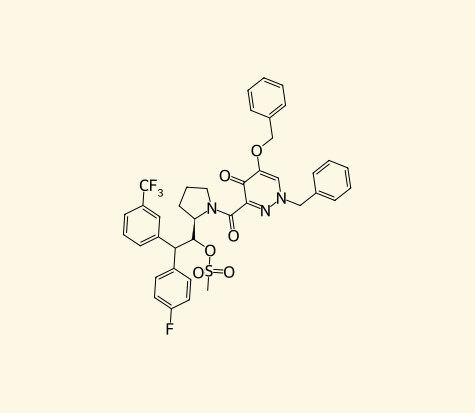 CS(=O)(=O)OC(C(c1ccc(F)cc1)c1cccc(C(F)(F)F)c1)[C@H]1CCCN1C(=O)c1nn(Cc2ccccc2)cc(OCc2ccccc2)c1=O